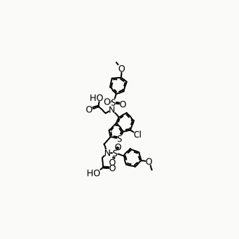 COc1ccc(S(=O)(=O)N(CC(=O)O)Cc2cc3c(N(CC(=O)O)S(=O)(=O)c4ccc(OC)cc4)ccc(Cl)c3s2)cc1